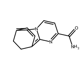 NC(=O)C1=NC2=C3C=CC(=CN2C=C1)CC3